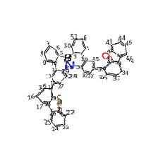 c1ccc(B2c3ccccc3-c3cc(-c4cccc5c4sc4ccccc45)ccc3N2c2ccc(-c3cccc4c3oc3ccccc34)cc2)cc1